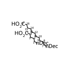 CCCCCCCCCCCCCCC(=O)O.CCCCCCCCCCCCCCCCCCCCC(=O)O